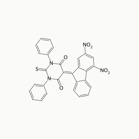 O=C1C(=C2c3ccccc3-c3c2cc([N+](=O)[O-])cc3[N+](=O)[O-])C(=O)N(c2ccccc2)C(=S)N1c1ccccc1